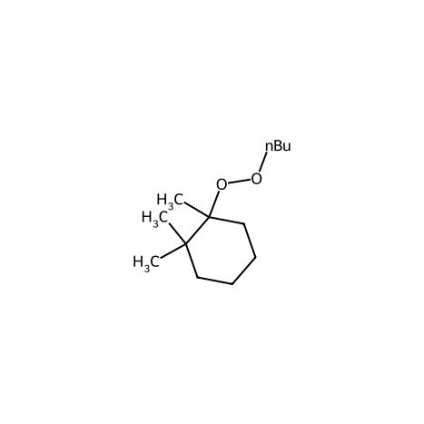 CCCCOOC1(C)CCCCC1(C)C